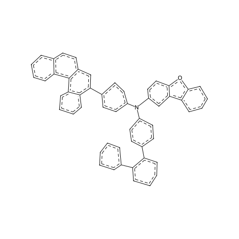 c1ccc(-c2ccccc2-c2ccc(N(c3ccc(-c4cc5ccc6ccccc6c5c5ccccc45)cc3)c3ccc4oc5ccccc5c4c3)cc2)cc1